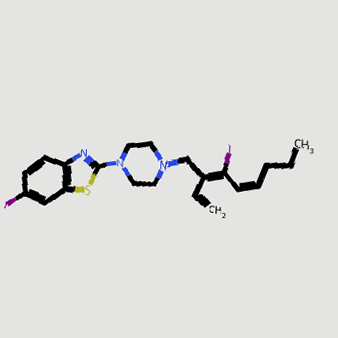 C=C/C(CN1CCN(c2nc3ccc(I)cc3s2)CC1)=C(I)\C=C/CCC